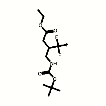 CCOC(=O)CC(CNC(=O)OC(C)(C)C)C(F)(F)F